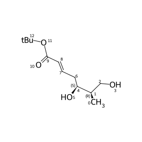 C[C@H](CO)[C@@H](O)CC=CC(=O)OC(C)(C)C